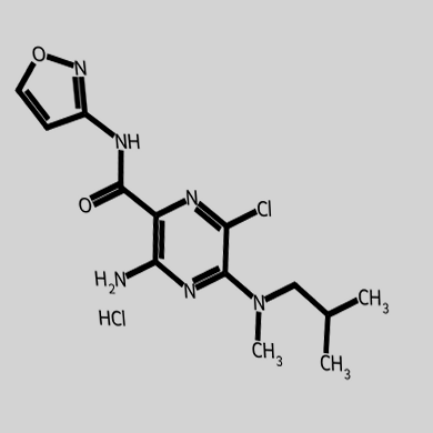 CC(C)CN(C)c1nc(N)c(C(=O)Nc2ccon2)nc1Cl.Cl